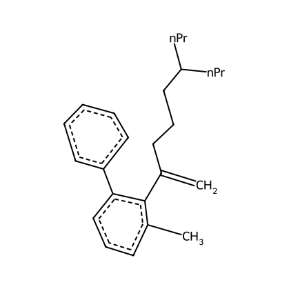 C=C(CCCC(CCC)CCC)c1c(C)cccc1-c1ccccc1